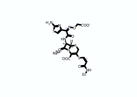 CCNC(=O)/C=C\SC1=C(C(=O)[O-])N2C(=O)[C@@H](NC(=O)/C(=N\OCC(=O)[O-])c3csc(N)n3)[C@@H]2SC1.[Na+].[Na+]